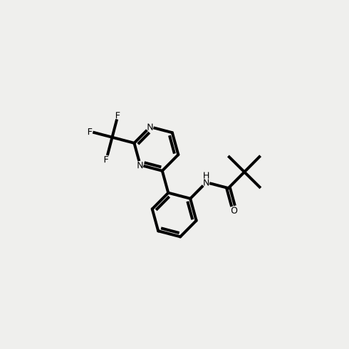 CC(C)(C)C(=O)Nc1ccccc1-c1ccnc(C(F)(F)F)n1